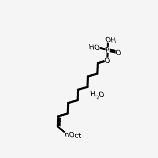 CCCCCCCC/C=C\CCCCCCCCOP(=O)(O)O.O